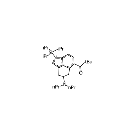 CCCN(CCC)C1Cc2cn([Si](C(C)C)(C(C)C)C(C)C)c3ccc(C(=O)C(C)(C)C)c(c23)C1